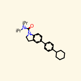 CC(C)N(C(=O)N1CCc2cc(-c3ccc(C4CCCCC4)cc3)ccc21)C(C)C